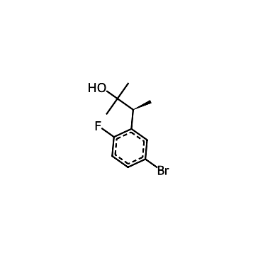 C[C@@H](c1cc(Br)ccc1F)C(C)(C)O